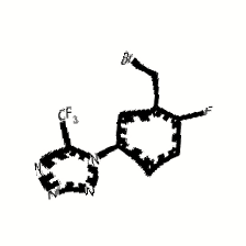 Fc1ccc(-n2nnnc2C(F)(F)F)cc1CBr